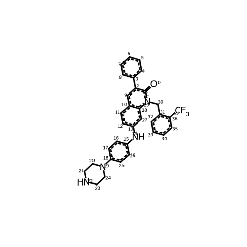 O=c1c(-c2ccccc2)cc2ccc(Nc3ccc(N4CCNCC4)cc3)cc2n1Cc1ccccc1C(F)(F)F